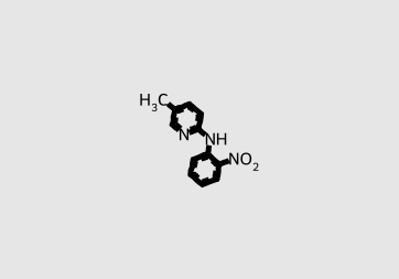 Cc1ccc(Nc2ccccc2[N+](=O)[O-])nc1